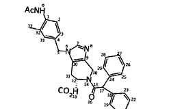 CC(=O)Nc1ccc(Cn2cnc3c2C[C@@H](C(=O)O)N(C(=O)C(c2ccccc2)c2ccccc2)C3)cc1C